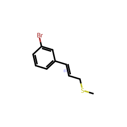 CSC/C=C/c1cccc(Br)c1